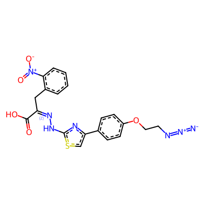 [N-]=[N+]=NCCOc1ccc(-c2csc(N/N=C(/Cc3ccccc3[N+](=O)[O-])C(=O)O)n2)cc1